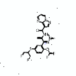 C=C(NC(=O)c1cnn2cccnc12)/C(=N\N(C)C)c1cc(SC(CF)CF)ccc1OC(F)F